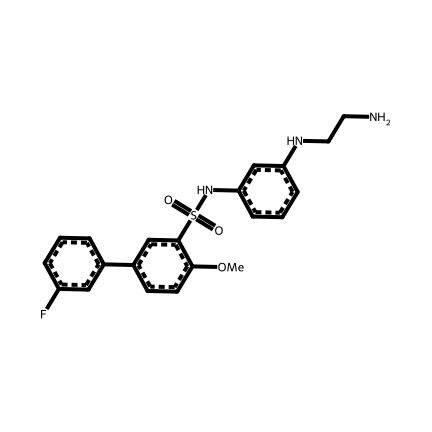 COc1ccc(-c2cccc(F)c2)cc1S(=O)(=O)Nc1cccc(NCCN)c1